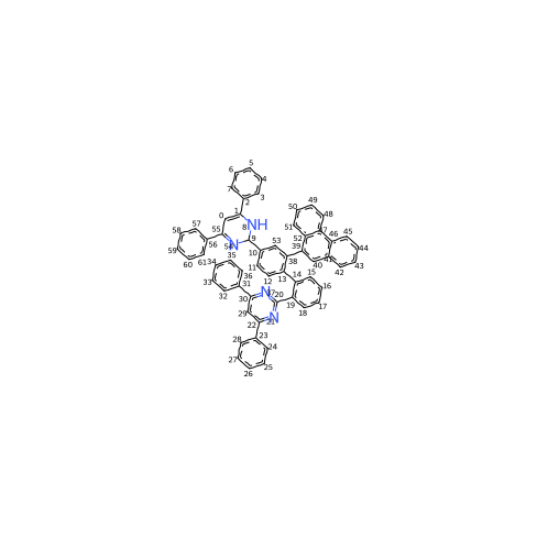 C1=C(c2ccccc2)NC(c2ccc(-c3ccccc3-c3nc(-c4ccccc4)cc(-c4ccccc4)n3)c(-c3cc4ccccc4c4ccccc34)c2)N=C1c1ccccc1